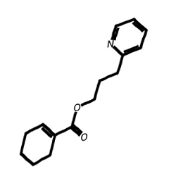 O=C(OCCCc1ccccn1)C1=CCCCC1